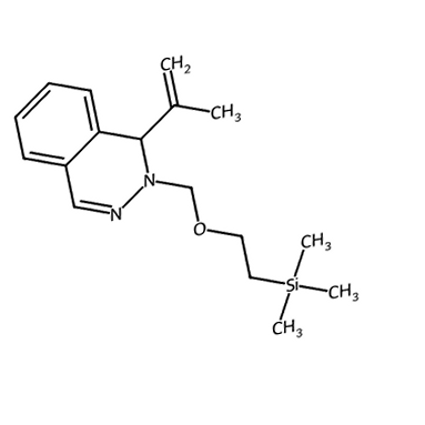 C=C(C)C1c2ccccc2C=NN1COCC[Si](C)(C)C